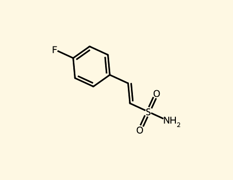 NS(=O)(=O)C=Cc1ccc(F)cc1